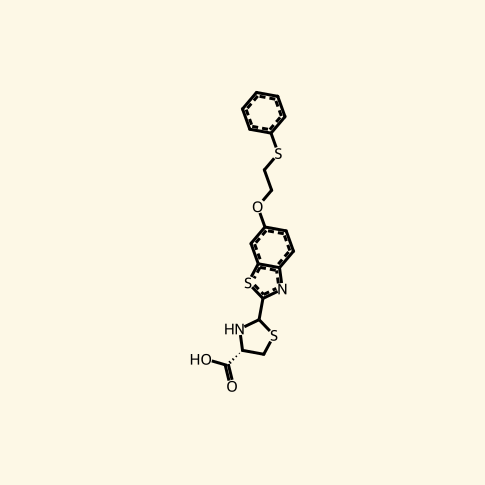 O=C(O)[C@H]1CSC(c2nc3ccc(OCCSc4ccccc4)cc3s2)N1